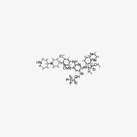 CCc1cc(Nc2ncc(Br)c(Nc3ccc4nccnc4c3P(C)(C)=O)n2)c(OC)nc1C1CCN(C2CCCNCC2)CC1.O=C(O)C(F)(F)F